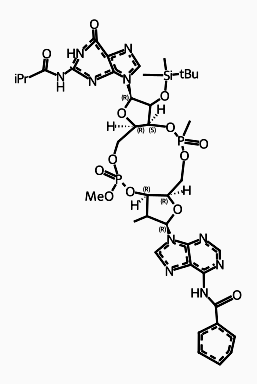 COP1(=O)OC[C@H]2O[C@@H](n3cnc4c(=O)[nH]c(NC(=O)C(C)C)nc43)C(O[Si](C)(C)C(C)(C)C)[C@H]2OP(C)(=O)OC[C@H]2O[C@@H](n3cnc4c(NC(=O)c5ccccc5)ncnc43)C(C)[C@H]2O1